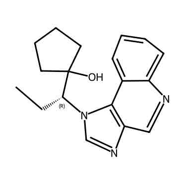 CC[C@@H](n1cnc2cnc3ccccc3c21)C1(O)CCCC1